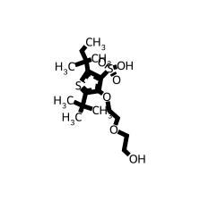 CCC(C)(C)c1sc(C(C)(C)C)c(OCCOCCO)c1S(=O)(=O)O